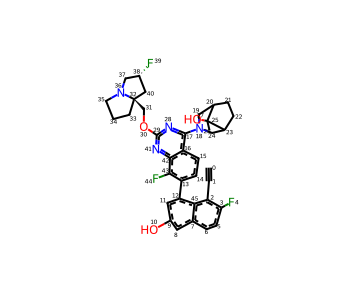 C#Cc1c(F)ccc2cc(O)cc(-c3ccc4c(N5CC6CCC(C5)C6(C)O)nc(OC[C@@]56CCCN5C[C@H](F)C6)nc4c3F)c12